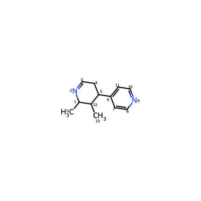 CC1N=CCC(c2ccncc2)C1C